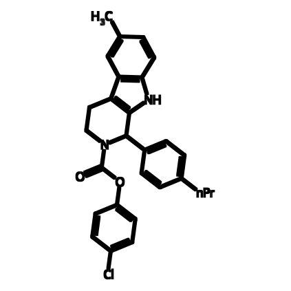 CCCc1ccc(C2c3[nH]c4ccc(C)cc4c3CCN2C(=O)Oc2ccc(Cl)cc2)cc1